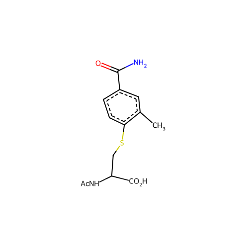 CC(=O)NC(CSc1ccc(C(N)=O)cc1C)C(=O)O